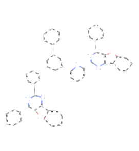 c1ccc(-c2cc(-c3cccc(-c4nc(-c5ccccc5)c5oc6ccccc6c5n4)c3)cc(-c3cccc(-c4nc(-c5ccccc5)c5oc6ccccc6c5n4)n3)c2)cc1